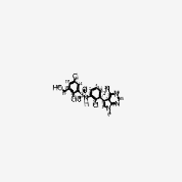 Cn1cc(-c2cccc(NS(=O)(=O)c3cc(Cl)cc(CO)c3Cl)c2Cl)c2c(N)ncnc21